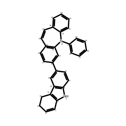 C1=Cc2[nH]c3ccc(-c4ccc5c(c4)N(c4ccccc4)c4ccccc4C=C5)cc3c2CC1